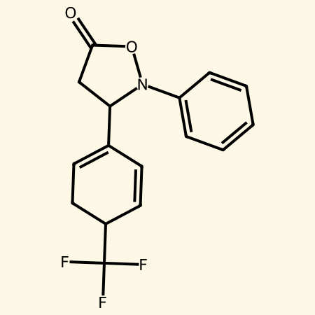 O=C1CC(C2=CCC(C(F)(F)F)C=C2)N(c2ccccc2)O1